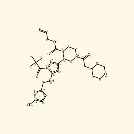 C=CCOC(=O)N1CCN(C(=O)CN2CCOCC2)CC1c1cc(NCc2ccc(Cl)s2)n(C(=O)C(C)(C)C)n1